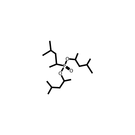 CC(C)CC(C)OP(=O)(OC(C)CC(C)C)C(C)CC(C)C